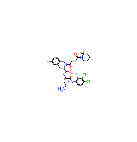 CC1(C)CCCCN1C(=O)CCC(=O)N1Cc2ccc(F)cc2CC1C(=O)N[C@@H](CCN)C(=O)Nc1ccc(Cl)c(Cl)c1F